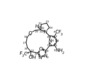 Nc1cc(C(F)(F)F)c2nc1-c1nnc(o1)C(O)(C(F)(F)F)CCCOC[C@@H]1CCCN21